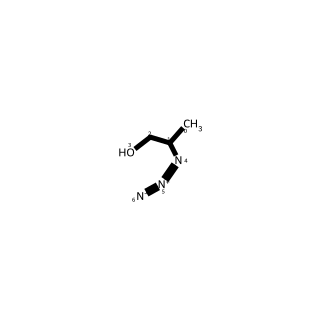 CC(CO)N=[N+]=[N-]